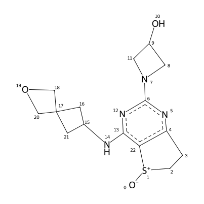 [O-][S+]1CCc2nc(N3CC(O)C3)nc(NC3CC4(COC4)C3)c21